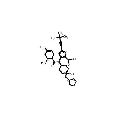 CC1=CCC(C(=O)N(c2cc(C#CC(C)(C)C)sc2C(=O)O)C2CCC(O)(C[C@@H]3CCOC3)CC2)[C@@H](C)C1